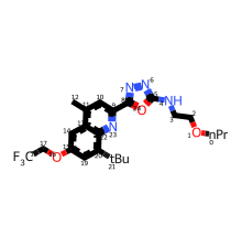 CCCOCCNc1nnc(-c2cc(C)c3cc(OCC(F)(F)F)cc(C(C)(C)C)c3n2)o1